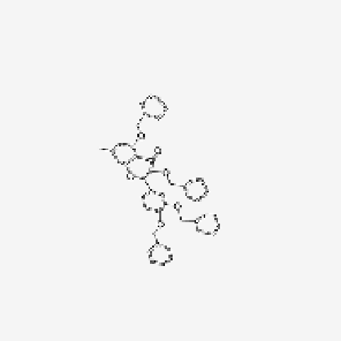 Cc1cc(OCc2ccccc2)c2c(=O)c(OCc3ccccc3)c(-c3ccc(OCc4ccccc4)c(OCc4ccccc4)c3)oc2c1